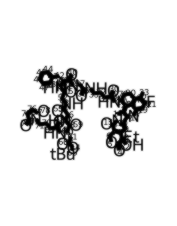 CC[C@@]1(O)C(=O)OCc2c1cc1n(c2=O)Cc2c-1nc1cc(F)c(C)c3c1c2[C@@H](NC(=O)CCCNC(=O)CNC(=O)[C@H](Cc1ccccc1)NC(=O)CNC(=O)CNC(=O)[C@H](CC(=O)OC(C)(C)C)NC(=O)CCCN1C(=O)C=CC1=O)CC3